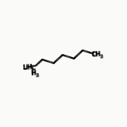 CCCCCCC.[LiH]